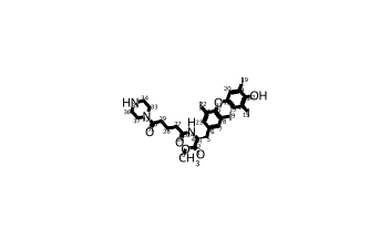 COC(=O)[C@H](Cc1cc(I)c(Oc2cc(I)c(O)c(I)c2)c(I)c1)NC(=O)CCCC(=O)N1CCNCC1